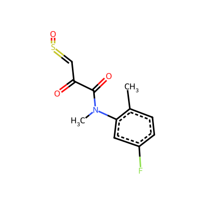 Cc1ccc(F)cc1N(C)C(=O)C(=O)C=S=O